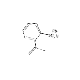 C=C(C)c1ccccc1S(=O)(=O)O.[Rb]